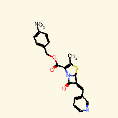 CC1=C(C(=O)OCc2ccc([N+](=O)[O-])cc2)N2C(=O)C(=Cc3cccnc3)C2S1